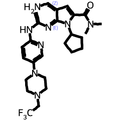 C=C(/N=C1\C(=C/N)C=C(C(=O)N(C)C)N1C1CCCC1)Nc1ccc(N2CCN(CC(F)(F)F)CC2)cn1